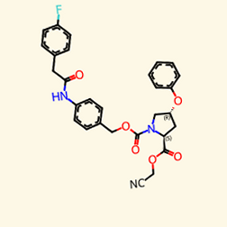 N#CCOC(=O)[C@@H]1C[C@@H](Oc2ccccc2)CN1C(=O)OCc1ccc(NC(=O)Cc2ccc(F)cc2)cc1